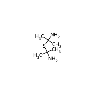 CC(C)(N)SC(C)(C)N